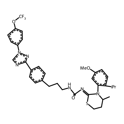 COc1ccc(C(C)C)c(N2/C(=N/C(=O)NCCCc3ccc(-c4ncn(-c5ccc(OC(F)(F)F)cc5)n4)cc3)SCCC2C)c1